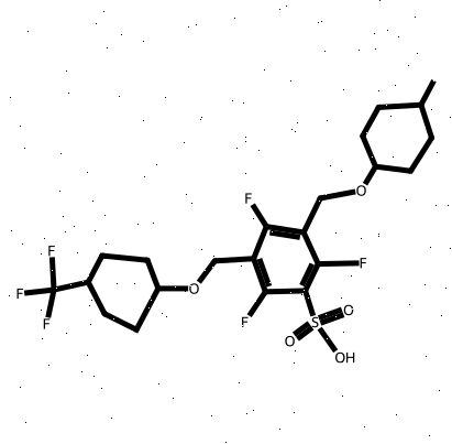 CC1CCC(OCc2c(F)c(COC3CCC(C(F)(F)F)CC3)c(F)c(S(=O)(=O)O)c2F)CC1